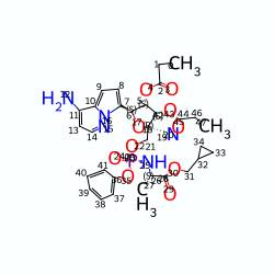 CCC(=O)O[C@H]1[C@H](c2ccc3c(N)ccnn23)O[C@](C#N)(CO[P@](=O)(N[C@@H](C)C(=O)OCC2CC2)Oc2ccccc2)[C@H]1OC(=O)CC